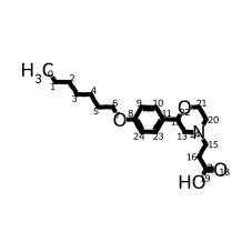 CCCCCCCOc1ccc(C2CN(CCC(=O)O)CCO2)cc1